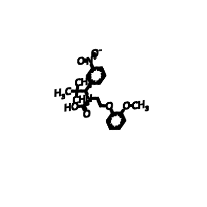 COc1ccccc1OCCN(C(=O)O)C(c1cccc([N+](=O)[O-])c1)C(C)(C)C